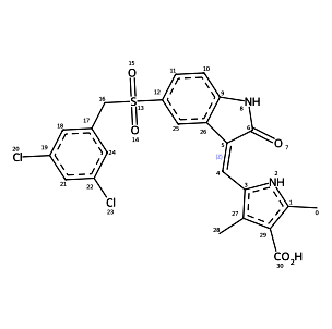 Cc1[nH]c(/C=C2\C(=O)Nc3ccc(S(=O)(=O)Cc4cc(Cl)cc(Cl)c4)cc32)c(C)c1C(=O)O